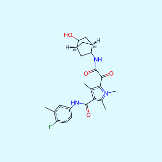 Cc1cc(NC(=O)c2c(C)c(C(=O)C(=O)NC3C[C@H]4C[C@@H]3CC4O)n(C)c2C)ccc1F